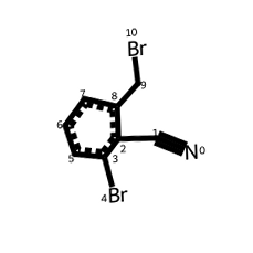 N#Cc1c(Br)cccc1CBr